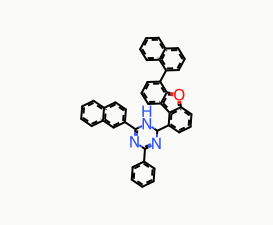 c1ccc(C2=NC(c3cccc4oc5c(-c6cccc7ccccc67)cccc5c34)NC(c3ccc4ccccc4c3)=N2)cc1